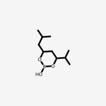 CC(C)CC1CC(C(C)C)OB(O)O1